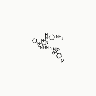 COc1ccc(S(=O)(=O)NCCNc2nc(N[C@H]3CC[C@H](N)CC3)nc3c2ncn3C2CCCC2)cc1